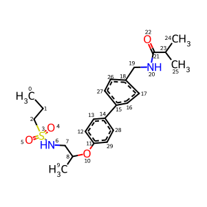 CCCS(=O)(=O)NCC(C)Oc1ccc(-c2ccc(CNC(=O)C(C)C)cc2)cc1